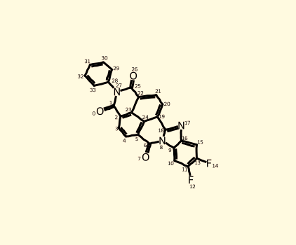 O=C1c2ccc3c(=O)n4c5cc(F)c(F)cc5nc4c4ccc(c2c34)C(=O)N1c1ccccc1